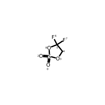 O=S1(=O)OCC(F)(F)O1